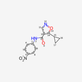 O=C(Nc1ccc([N+](=O)[O-])cc1)c1cnoc1C1CC1